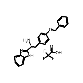 N[C@@H](Cc1ccc(OCc2ccccc2)cc1)c1nc2ccccc2[nH]1.O=C(O)C(F)(F)F